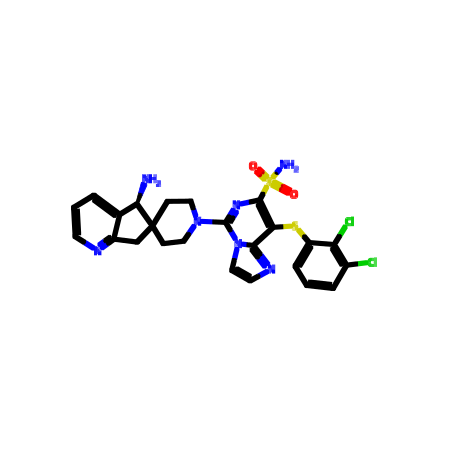 N[C@@H]1c2cccnc2CC12CCN(c1nc(S(N)(=O)=O)c(Sc3cccc(Cl)c3Cl)c3nccn13)CC2